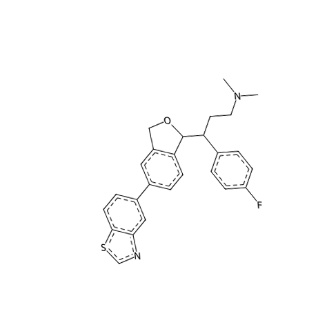 CN(C)CCC(c1ccc(F)cc1)C1OCc2cc(-c3ccc4scnc4c3)ccc21